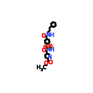 CCOC(=O)c1ccc(C(=O)NS(=O)(=O)c2ccc(C(=O)NCCCc3ccccc3)cc2)cn1